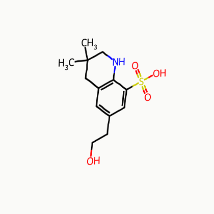 CC1(C)CNc2c(cc(CCO)cc2S(=O)(=O)O)C1